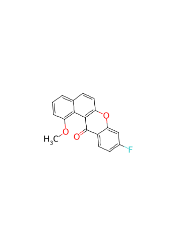 COc1cccc2ccc3oc4cc(F)ccc4c(=O)c3c12